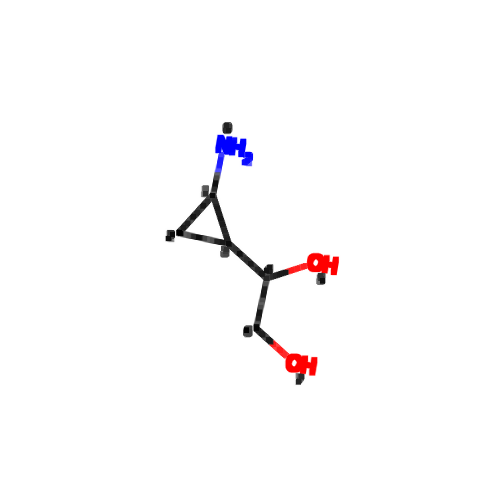 NC1CC1C(O)CO